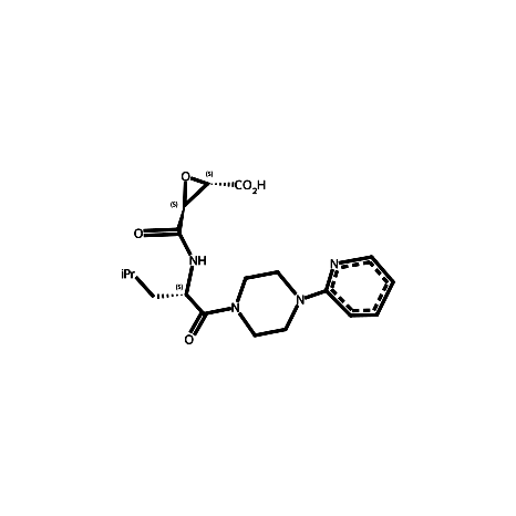 CC(C)C[C@H](NC(=O)[C@H]1O[C@@H]1C(=O)O)C(=O)N1CCN(c2ccccn2)CC1